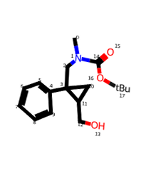 CN(CC1(c2ccccc2)CC1CO)C(=O)OC(C)(C)C